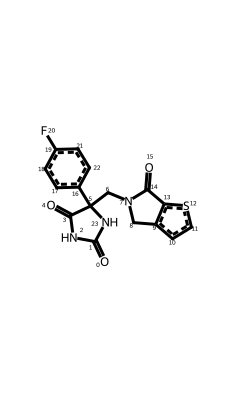 O=C1NC(=O)C(CN2Cc3ccsc3C2=O)(c2ccc(F)cc2)N1